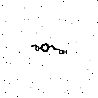 CCOc1ccc(C[CH]CO)cc1